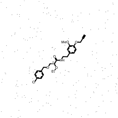 C#CCOc1ccc(CCNC(=O)[C@H](COCc2ccc(Cl)cc2)OCC)cc1OC